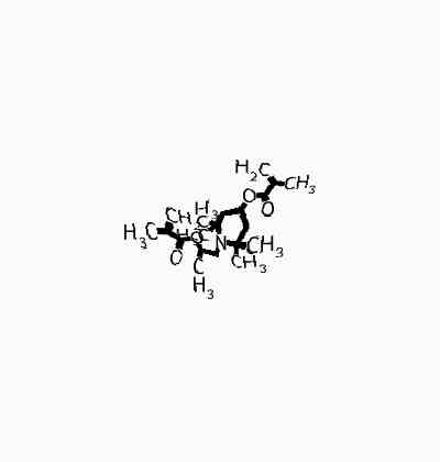 C=C(C)C(=O)OC(C)CN1C(C)(C)CC(OC(=O)C(=C)C)CC1(C)C